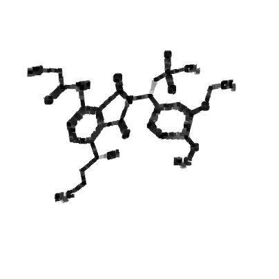 CCC[C@@H](O)c1ccc(NC(=O)CO)c2c1C(=O)N([C@H](CS(C)(=O)=O)c1ccc(OC)c(OCC)c1)C2=O